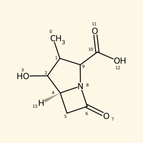 CC1C(O)[C@@H]2CC(=O)N2C1C(=O)O